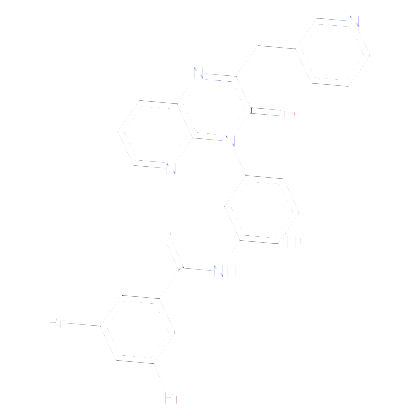 Cl.O=C(Nc1cccc(-n2c(=O)c(Cc3cccnc3)nc3cccnc32)c1)c1cc(Br)cc(Br)c1